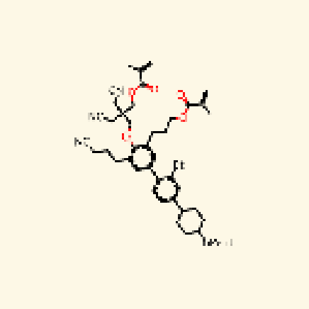 C=C(C)C(=O)OCCCc1cc(-c2ccc(C3CCC(CCCCC)CC3)cc2CC)cc(CCCC#N)c1OCC(CC#N)(CC#N)COC(=O)C(=C)C